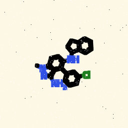 Cn1nc(N)c2c(-c3cccc(Cl)c3)c(NC3CCc4ccccc43)ccc21